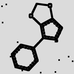 c1ccc(-c2scc3c2OCO3)cc1